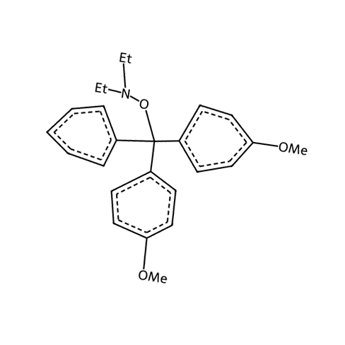 CCN(CC)OC(c1ccccc1)(c1ccc(OC)cc1)c1ccc(OC)cc1